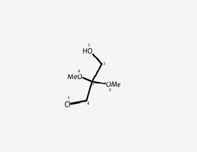 COC(CO)(CCl)OC